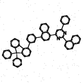 c1ccc(-c2cc(-c3ccc(-c4cccc(-c5cccc6c5-c5ccccc5C6(c5ccccc5)c5ccccc5)c4)c4ccccc34)nc(-c3cccc4ccccc34)n2)cc1